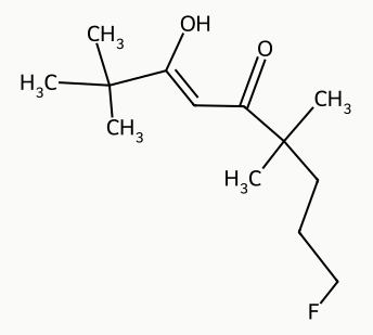 CC(C)(CCCF)C(=O)/C=C(\O)C(C)(C)C